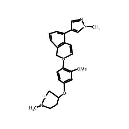 COc1cc(OC2CCN(C)CC2)ccc1N1C=Cc2c(cccc2-c2cnn(C)c2)C1